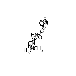 CN(C)c1nccc(N2CC(NC(=O)C3CC(Oc4cccc5scnc45)C3)C2)n1